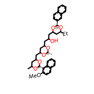 CCC1CC(CC(O)CC2CC(CC3CC(C)O[C@@H](c4c(OC)ccc5ccccc45)O3)O[C@@H](C)O2)O[C@@H](c2ccc3ccccc3c2)O1